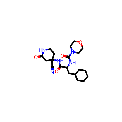 N#CC1(NC(=O)C(CC2CCCCC2)NC(=O)N2CCOCC2)CCNC(=O)C1